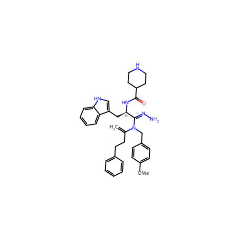 C=C(CCc1ccccc1)N(Cc1ccc(OC)cc1)/C(=N\N)[C@@H](Cc1c[nH]c2ccccc12)NC(=O)C1CCNCC1